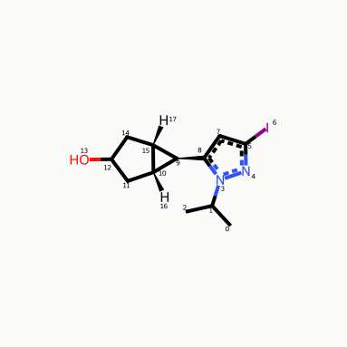 CC(C)n1nc(I)cc1[C@H]1[C@@H]2CC(O)C[C@@H]21